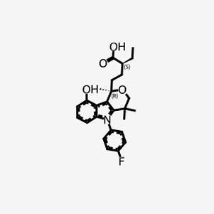 CC[C@@H](CC[C@@]1(C)OCC(C)(C)c2c1c1c(O)cccc1n2-c1ccc(F)cc1)C(=O)O